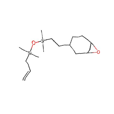 C=CC[Si](C)(C)O[Si](C)(C)CCC1CCC2OC2C1